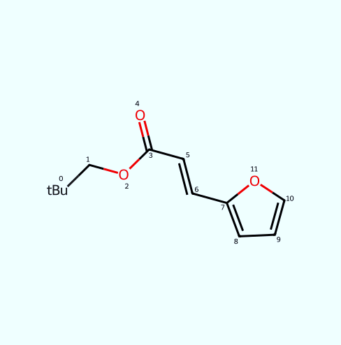 CC(C)(C)COC(=O)C=Cc1ccco1